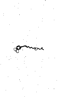 CC(C)CCOCCCCCC=Cc1ccc2c(c1)OCO2